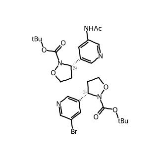 CC(=O)Nc1cncc([C@@H]2CCON2C(=O)OC(C)(C)C)c1.CC(C)(C)OC(=O)N1OCC[C@H]1c1cncc(Br)c1